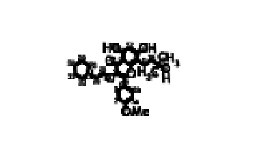 COc1ccc(-c2oc3c(CCC(C)(C)O)c(O)cc(O)c3c(=O)c2OCCN2CCCCC2)cc1